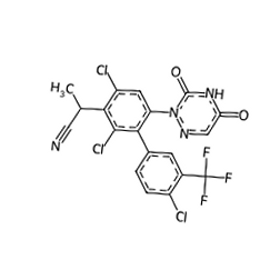 CC(C#N)c1c(Cl)cc(-n2ncc(=O)[nH]c2=O)c(-c2ccc(Cl)c(C(F)(F)F)c2)c1Cl